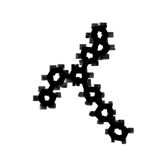 c1ccc(-c2ccc(-c3ccc(-c4cc(-c5ccc6c(ccc7ccccc76)c5)nc(-c5cccc(-c6ccccc6)c5)n4)cc3)cc2)cc1